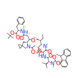 CC[C@H](C)[C@@H]([C@@H](CC(=O)N1CC2(CC2)C[C@H]1[C@H](OC)[C@@H](C)C(=O)NC(Cc1ccccc1F)C(=O)OC(C)(C)C)OC)N(C)C(=O)[C@@H](NC(=O)[C@H](C(C)C)N(C)C(=O)OCC1c2ccccc2-c2ccccc21)C(C)C